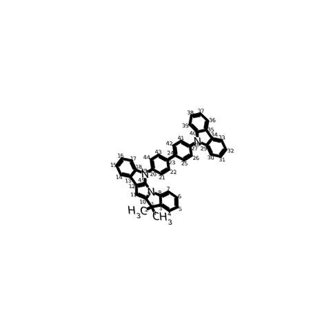 CC1(C)c2ccccc2-n2c1cc1c3ccccc3n(-c3ccc(-c4ccc(-n5c6ccccc6c6ccccc65)cc4)cc3)c12